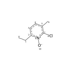 CCc1ccc(C)c(Cl)[n+]1[O-]